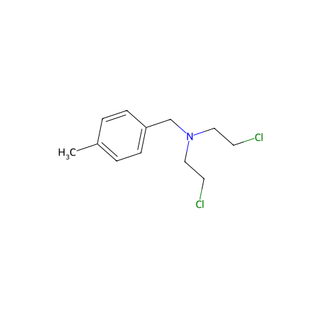 Cc1ccc(CN(CCCl)CCCl)cc1